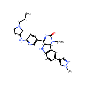 CCCCCn1c(=O)nc(-c2ccc(NC3CCN(CCOC)C3)nc2)c2[nH]c3ccc(-c4cnn(C)c4)cc3c21